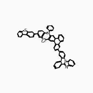 c1ccc(N2c3ccc(-c4ccc5c(c4)sc4ccccc45)cc3Oc3cc4c5ccc(-c6ccc7c(c6)c6ccccc6c6nc8ccccc8n76)cc5c5ccccc5c4cc32)cc1